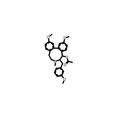 COc1cccc(CC2C(OC(C)=O)c3ccc(OC)cc3-c3cc(OC)ccc3CCN2C)c1